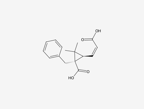 CC1(C)[C@@H](/C=C\C(=O)O)[C@@]1(Cc1ccccc1)C(=O)O